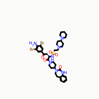 Nc1c(Br)cc(C(=O)C[C@@H](NS(=O)(=O)CCN2CCC(N3CCCCC3)CC2)C(=O)N2CCC(N3CCc4ccccc4NC3=O)CC2)cc1Br